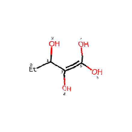 CCC(O)C(O)=C(O)O